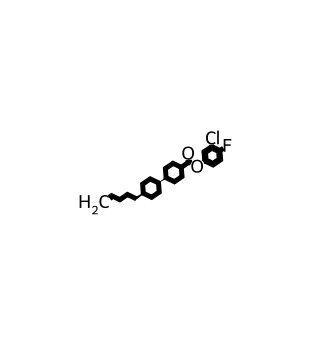 C=CCCC[C@H]1CC[C@H](C2CCC(C(=O)Oc3ccc(F)c(Cl)c3)CC2)CC1